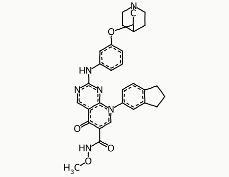 CONC(=O)c1cn(-c2ccc3c(c2)CCC3)c2nc(Nc3cccc(OC4CN5CCC4CC5)c3)ncc2c1=O